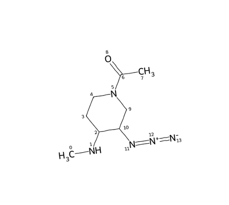 CNC1CCN(C(C)=O)CC1N=[N+]=[N-]